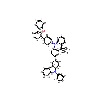 CC1(C)c2ccccc2N(c2ccc(-c3cccc4c3oc3ccccc34)cc2)c2ccc(-c3ccc4c(c3)c3ccccc3n4-c3ccccc3)cc21